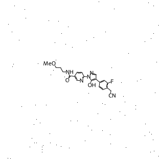 COCCCNC(=O)c1ccc(-n2ncc(-c3ccc(CC#N)c(F)c3)c2O)nc1